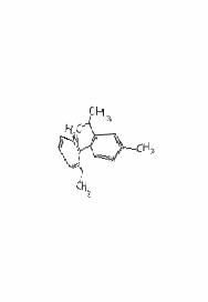 CCc1cccnc1-c1ccc(C)cc1C(C)C